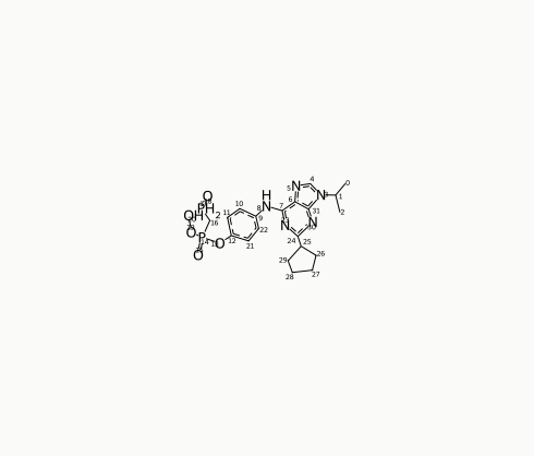 CC(C)n1cnc2c(Nc3ccc(OP(=O)(C[PH2]=O)OO)cc3)nc(C3CCCC3)nc21